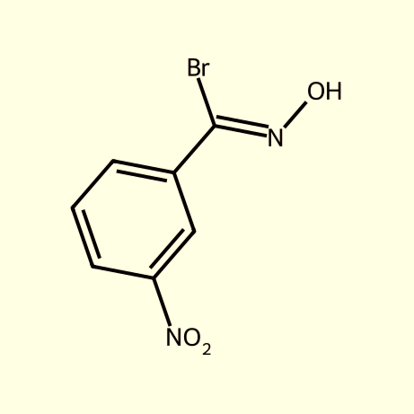 O=[N+]([O-])c1cccc(C(Br)=NO)c1